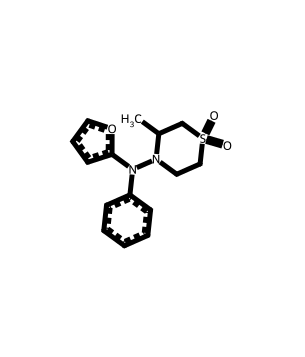 CC1CS(=O)(=O)CCN1N(c1ccccc1)c1ccco1